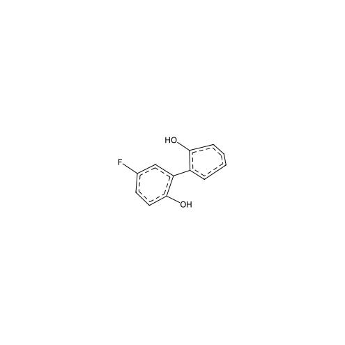 Oc1ccccc1-c1cc(F)ccc1O